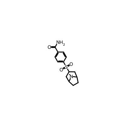 CN1C2CCC1CC(S(=O)(=O)c1ccc(C(N)=O)cc1)C2